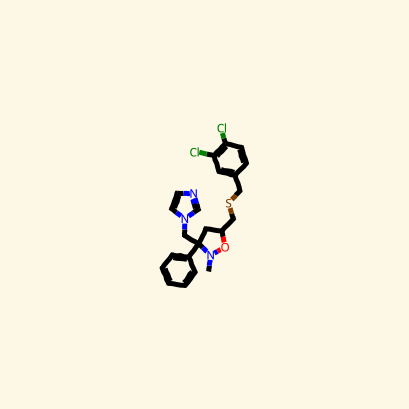 CN1OC(CSCc2ccc(Cl)c(Cl)c2)CC1(Cn1ccnc1)c1ccccc1